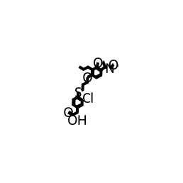 CCCc1c(OCCCSc2ccc(CC(=O)O)cc2Cl)ccc2c1OCC2=NOC